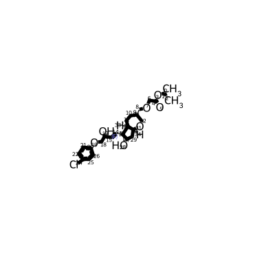 CC(C)OC(=O)COC[C@H]1CC[C@@H]2[C@@H](/C=C/[C@@H](O)COc3ccc(Cl)cc3)[C@H](O)C[C@@H]2OC1